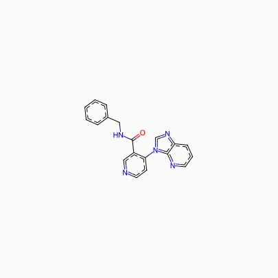 O=C(NCc1ccccc1)c1cnccc1-n1cnc2cccnc21